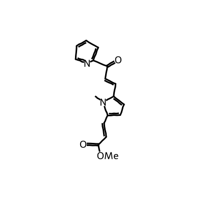 COC(=O)/C=C/c1ccc(/C=C/C(=O)c2ccccn2)n1C